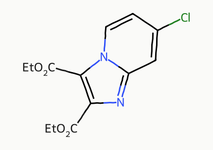 CCOC(=O)c1nc2cc(Cl)ccn2c1C(=O)OCC